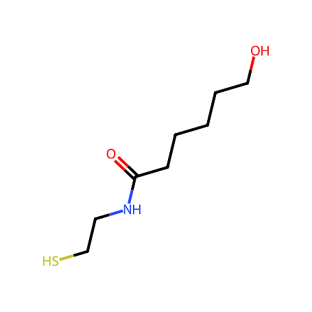 O=C(CCCCCO)NCCS